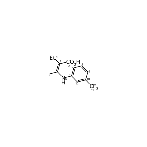 CCC(C(=O)O)=C(C)Nc1cccc(C(F)(F)F)c1